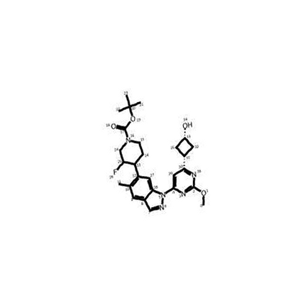 COc1nc(-n2ncc3cc(C)c(C4CCN(C(=O)OC(C)(C)C)CC4F)cc32)cc([C@H]2C[C@@H](O)C2)n1